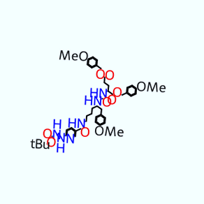 COc1ccc(COC(=O)CCC(NC(=O)NC(CCCCNC(=O)c2ccc(NNC(=O)OC(C)(C)C)nc2)Cc2ccc(OC)cc2)C(=O)OCc2ccc(OC)cc2)cc1